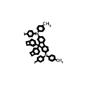 Cc1ccc(N(c2ccc(I)cc2)c2ccc3c(c2)C(c2ccc4c(c2)CC4)(c2ccc4c(c2)CC4)c2cc(N(c4ccc(C)cc4)c4ccc(I)cc4)ccc2-3)cc1